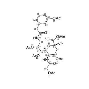 COC(=O)[C@]1(Cl)C[C@H](OC(C)=O)[C@@H](NC(=O)COC(C)=O)[C@H]([C@H](OC(C)=O)[C@@H](CNC(=O)Cc2cccc(OC(C)=O)c2)OC(C)=O)O1